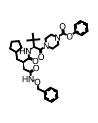 CC(C)(C)[C@H](NC(=O)[C@@H](CC(=O)NOCc1ccccc1)CC1CCCC1)C(=O)N1CCN(C(=O)Oc2ccccc2)CC1